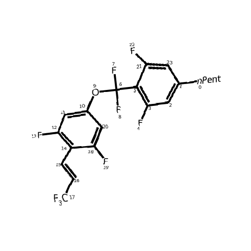 CCCCCc1cc(F)c(C(F)(F)Oc2cc(F)c(/C=C/C(F)(F)F)c(F)c2)c(F)c1